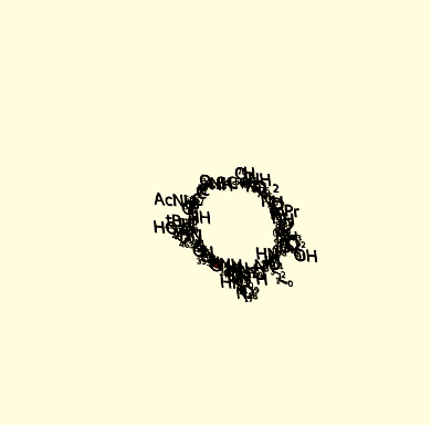 C=CCCC[C@]1(C)NC(=O)[C@H](Cc2c[nH]c3ncccc23)NC(=O)[C@H]([C@@H](C)O)NC(=O)[C@@H]2CCCN2C(=O)[C@H](Cc2ccc(O)cc2)NC(=O)[C@H](C(C)(C)C)NC(=O)[C@@H](NC(C)=O)CCCC(=O)NCCCC[C@@H](C(N)=O)NC(=O)C(C)(C)NC(=O)[C@H](CCC)NC(=O)[C@H](Cc2ccc(O)cc2)NC(=O)[C@H](C)NC1=O